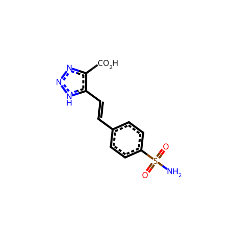 NS(=O)(=O)c1ccc(C=Cc2[nH]nnc2C(=O)O)cc1